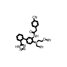 CC(C)CN(CCOC(C)C)c1ccc(-c2ccccc2-c2nnn[nH]2)cc1NC(=O)Cc1ccc(C#N)cc1